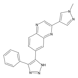 Cn1cc(-c2cnc3ccc(-c4[nH]nnc4-c4ccccc4)cc3n2)cn1